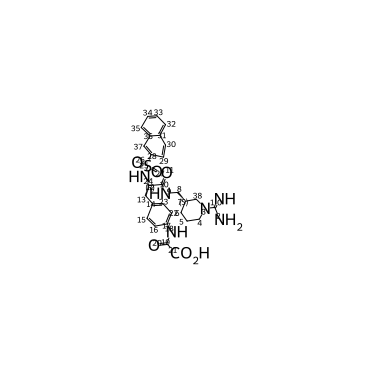 N=C(N)N1CCC[C@@H](CNC(=O)[C@@H](Cc2ccc(NC(=O)C(=O)O)cc2)NS(=O)(=O)c2ccc3ccccc3c2)C1